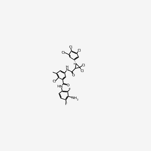 Cc1cc(NC(=O)C2[C@H](c3cc(Cl)c(Cl)c(Cl)c3)C2(Cl)Cl)cc(C(=O)Nc2ccc(F)c(N)c2F)c1Cl